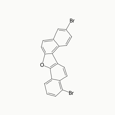 Brc1ccc2c(ccc3oc4c5cccc(Br)c5ccc4c32)c1